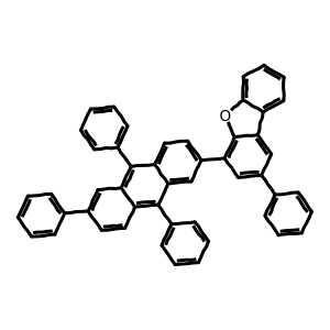 c1ccc(-c2ccc3c(-c4ccccc4)c4cc(-c5cc(-c6ccccc6)cc6c5oc5ccccc56)ccc4c(-c4ccccc4)c3c2)cc1